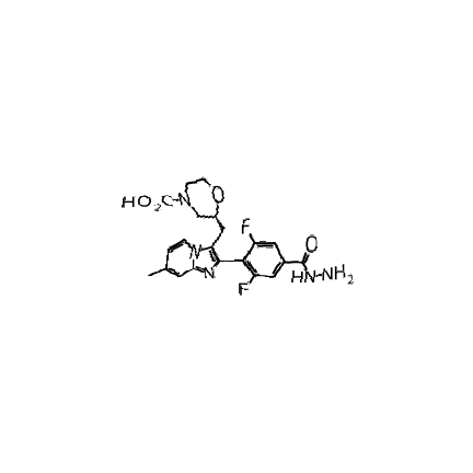 Cc1ccn2c(C[C@H]3CN(C(=O)O)CCO3)c(-c3c(F)cc(C(=O)NN)cc3F)nc2c1